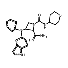 N=C(N)C1C(N(c2ccccc2)c2ccc3[nH]ccc3c2)CN1C(=O)NC1CCOCC1